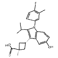 Cc1cc(-n2c(C(C)C)c([C@H]3C[C@](C)(C(=O)O)C3)c3cc(O)ccc32)ccc1F